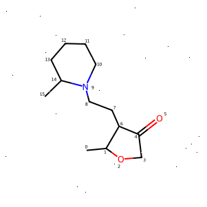 CC1OCC(=O)C1CCN1CCCCC1C